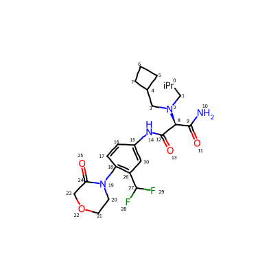 CC(C)CN(CC1CCC1)[C@@H](C(N)=O)C(=O)Nc1ccc(N2CCOCC2=O)c(C(F)F)c1